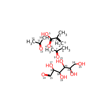 C=C(C)C(=O)O.CC(C)=O.CC(C)=O.O=CC(O)C(O)C(O)C(O)CO